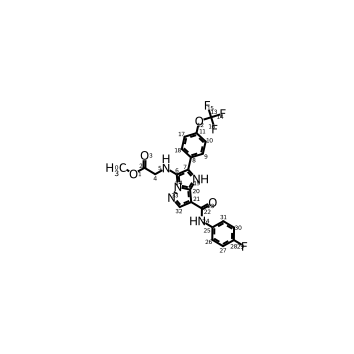 COC(=O)CNc1c(-c2ccc(OC(F)(F)F)cc2)[nH]c2c(C(=O)Nc3ccc(F)cc3)cnn12